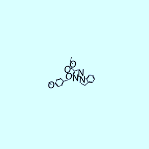 CCOC(=O)c1cnc(N2CCc3ccccc32)nc1OCc1ccc(OC)cc1